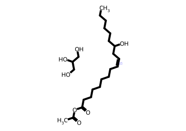 CCCCCCC(O)C/C=C\CCCCCCCC(=O)OC(C)=O.OCC(O)CO